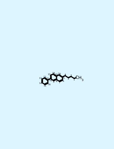 CCCCCc1ccc2cc(-c3ccccc3)ccc2c1